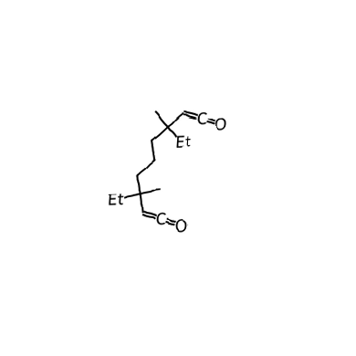 CCC(C)(C=C=O)CCCC(C)(C=C=O)CC